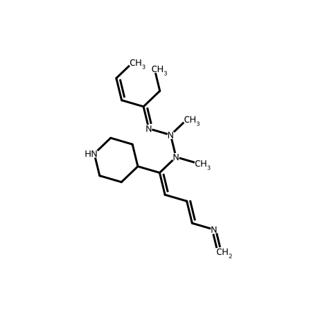 C=N/C=C/C=C(/C1CCNCC1)N(C)N(C)/N=C(/C=C\C)CC